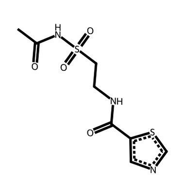 CC(=O)NS(=O)(=O)CCNC(=O)c1cncs1